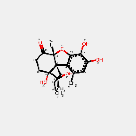 CCC[C@]12c3c(C)cc(O)c(O)c3O[C@H]1C(=O)CC[C@@]2(O)[C@H](C)O